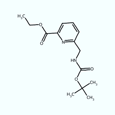 CCOC(=O)c1cccc(CNC(=O)OC(C)(C)C)n1